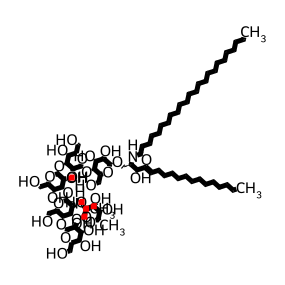 CCCCCCCCCCCCC/C=C/[C@@H](O)[C@H](CO[C@@H]1OC(CO)[C@@H](O[C@@H]2OC(CO)[C@H](O)[C@H](O[C@H]3OC(CO)[C@H](O)[C@H](O[C@@H]4OC(CO)[C@@H](O[C@@H]5OC(CO)[C@H](O)[C@H](O)C5O)[C@H](O[C@H]5OC(C)[C@@H](O)C(O)[C@@H]5O)C4NC(C)=O)C3O)C2O)[C@H](O)C1O)NC(=O)CCCCCCCCCCCCCCCCCCCCCCC